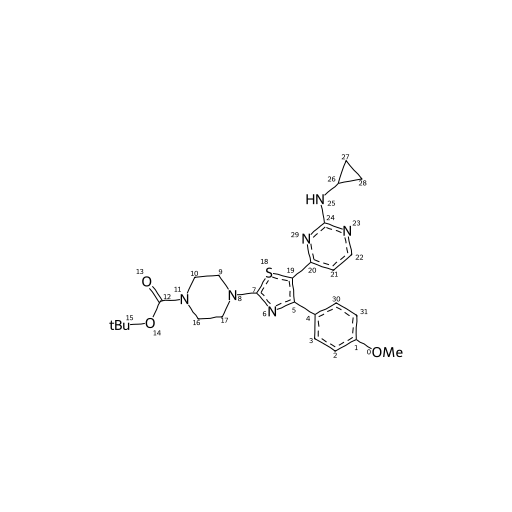 COc1ccc(-c2nc(N3CCN(C(=O)OC(C)(C)C)CC3)sc2-c2ccnc(NC3CC3)n2)cc1